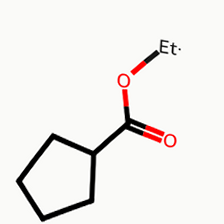 C[CH]OC(=O)C1CCCC1